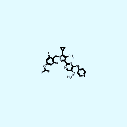 COc1cnc(-c2nn(Cc3c(F)cc(OC(F)F)cc3F)c(C3CC3)c2C)nc1Nc1ccncc1